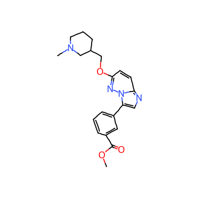 COC(=O)c1cccc(-c2cnc3ccc(OCC4CCCN(C)C4)nn23)c1